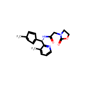 O=C(CN1CCOC1=O)N[C@@H](c1ccc(C(F)(F)F)cc1)c1ncccc1C(F)(F)F